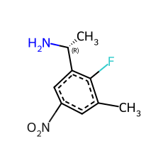 Cc1cc([N+](=O)[O-])cc([C@@H](C)N)c1F